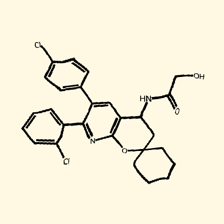 O=C(CO)NC1CC2(CCCCC2)Oc2nc(-c3ccccc3Cl)c(-c3ccc(Cl)cc3)cc21